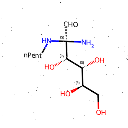 CCCCCN[C@](N)(C=O)[C@@H](O)[C@H](O)[C@H](O)CO